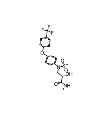 CNC(=O)[C@@H](O)CN(c1ccc(Oc2ccc(C(F)(F)F)cc2)cc1)S(C)(=O)=O